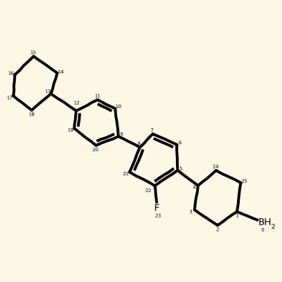 BC1CCC(c2ccc(-c3ccc(C4CCCCC4)cc3)cc2F)CC1